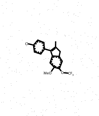 COc1cc2c(cc1OC(F)(F)F)CC(C)=C2c1ccc(Cl)cc1